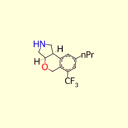 CCCc1cc2c(c(C(F)(F)F)c1)CO[C@H]1CNC[C@@H]21